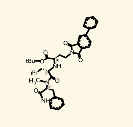 CC(C)C[C@H](N[C@H](CCN1C(=O)c2ccc(-c3ccccc3)cc2C1=O)C(=O)OC(C)(C)C)C(=O)N(C)[C@@H](Cc1ccccc1)C(N)=O